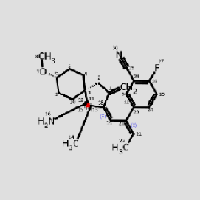 C=C1C[C@]2(CC[C@@H](OC)CC2)[C@]2(N=C(C)C(N)=N2)/C1=C/C(=C\C)c1ccc(F)c(C#N)c1